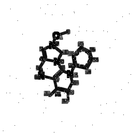 CON1C=C2C=NC3=C(N2C1)N(c1ccccc1)CC(C)=C3C